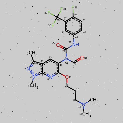 Cc1nn(C)c2nc(OCCCN(C)C)c(N(C=O)C(=O)Nc3ccc(F)c(C(F)(F)F)c3)cc12